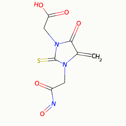 C=C1C(=O)N(CC(=O)O)C(=S)N1CC(=O)N=O